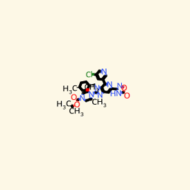 CC(C)OC(=O)N1CC(C)N(c2nc3cc(-c4noc(=O)[nH]4)nc(-c4cncc(Cl)c4)c3n2C[C@H]2CC[C@H](C)CC2)[C@H](C)C1